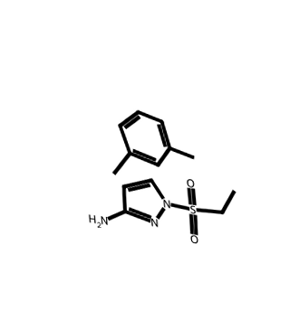 CCS(=O)(=O)n1ccc(N)n1.Cc1cccc(C)c1